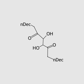 CCCCCCCCCCCC(=O)C(O)C(O)C(=O)CCCCCCCCCCC